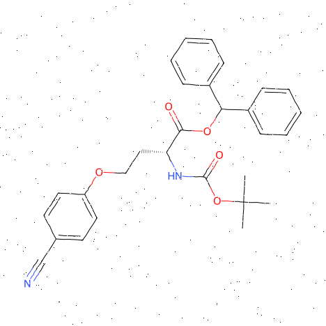 CC(C)(C)OC(=O)N[C@H](CCOc1ccc(C#N)cc1)C(=O)OC(c1ccccc1)c1ccccc1